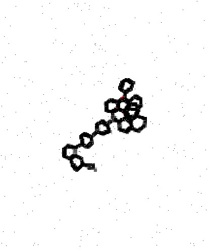 CC1C=Cc2cccc(-c3ccc(-c4ccc(N(c5ccccc5-c5cccc6cccc(C7CCCCC7)c56)c5cccc6c5c5ccccc5n6-c5ccccc5)cc4)cc3)c2C1